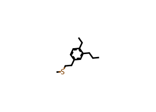 CCCc1cc(CCSC)ccc1CC